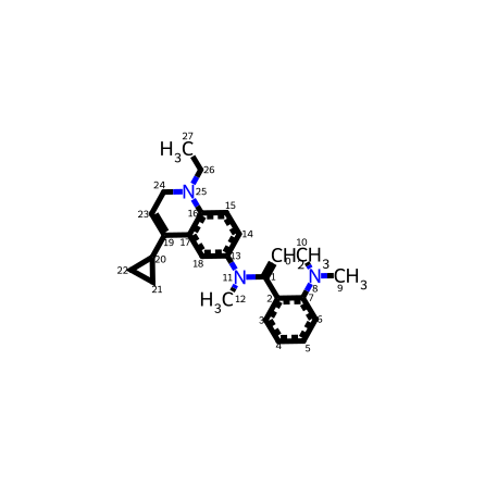 C=C(c1ccccc1N(C)C)N(C)c1ccc2c(c1)C(C1CC1)=CCN2CC